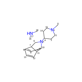 CN1CCC(N2CC3C4=CC2=C3C=C4)CC1.CNC